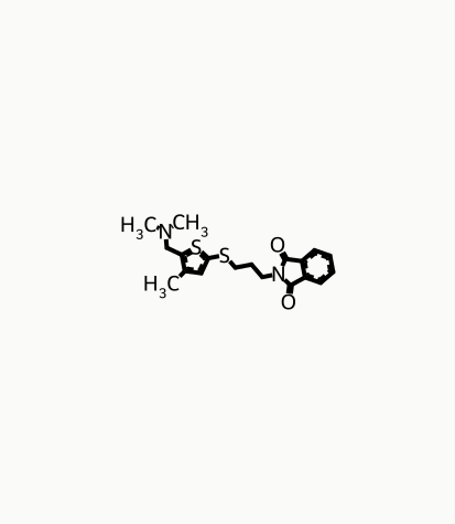 Cc1cc(SCCCN2C(=O)c3ccccc3C2=O)sc1CN(C)C